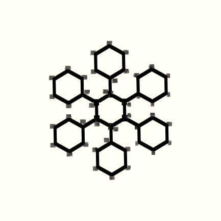 C1CCC(B2N(C3CCCCC3)B(C3CCCCC3)N(C3CCCCC3)B(C3CCCCC3)N2C2CCCCC2)CC1